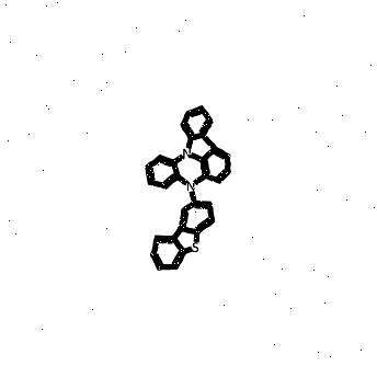 c1ccc2c(c1)N(c1ccc3sc4ccccc4c3c1)c1cccc3c4ccccc4n-2c13